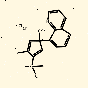 CC1=C[C]([Cr+2])(c2cccc3cccnc23)C=C1[Si](C)(C)Cl.[Cl-].[Cl-]